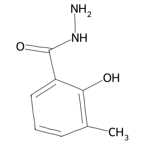 Cc1cccc(C(=O)NN)c1O